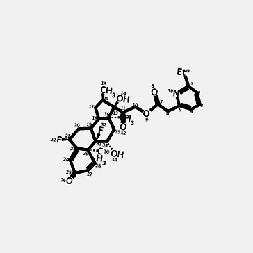 CCc1cccc(CC(=O)OCC(=O)[C@@]2(O)[C@H](C)CC3C4C[C@H](F)C5=CC(=O)C=C[C@]5(C)[C@@]4(F)[C@@H](O)C[C@@]32C)n1